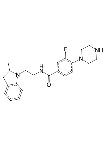 CC1Cc2ccccc2N1CCNC(=O)c1ccc(N2CCNCC2)c(F)c1